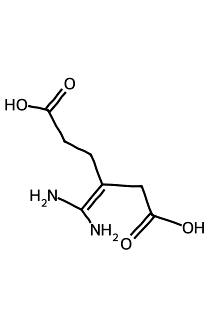 NC(N)=C(CCC(=O)O)CC(=O)O